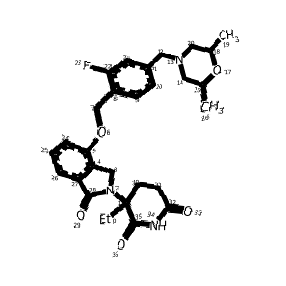 CCC1(N2Cc3c(OCc4ccc(CN5CC(C)OC(C)C5)cc4F)cccc3C2=O)CCC(=O)NC1=O